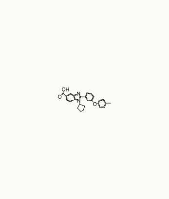 Cc1ccc(Oc2cccc(-c3nc4cc(C(=O)O)ccc4n3C3CCCC3)c2)cc1